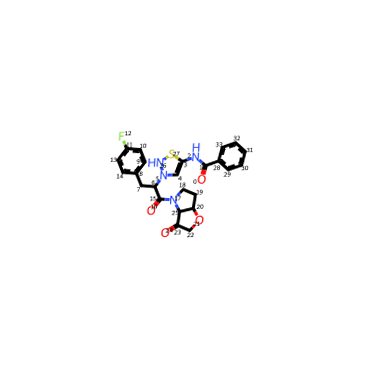 O=C(NC1=CN(C(Cc2ccc(F)cc2)C(=O)N2CCC3OCC(=O)C32)NS1)c1ccccc1